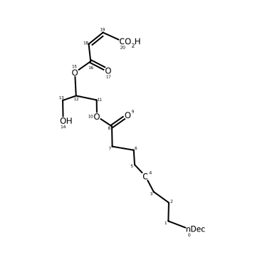 CCCCCCCCCCCCCCCCCC(=O)OCC(CO)OC(=O)/C=C\C(=O)O